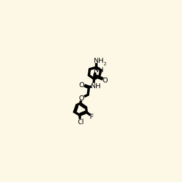 NC12CCC(NC(=O)COc3ccc(Cl)c(F)c3)(CC1)C(=O)N2